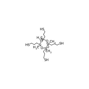 C[Si]1(CCCS)O[Si](C)(CCCS)O[Si](C)(CCCS)O[Si](C)(CCCS)O1